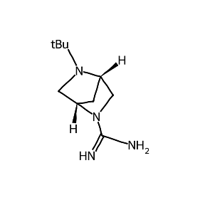 CC(C)(C)N1C[C@@H]2C[C@H]1CN2C(=N)N